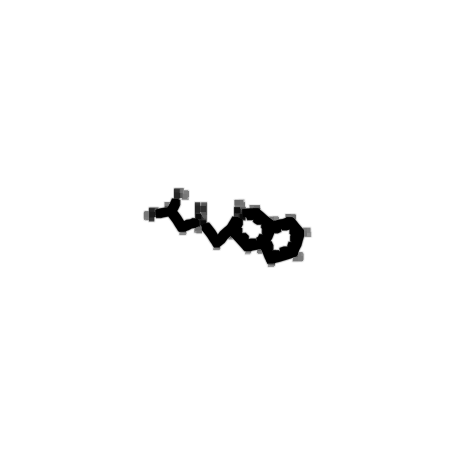 FC(F)CNCc1cc2ccccc2cn1